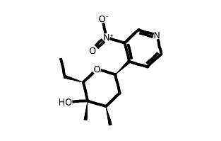 CC[C@H]1O[C@@H](c2ccncc2[N+](=O)[O-])C[C@@H](C)[C@]1(C)O